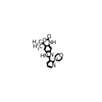 CC1(C)OC(=O)Nc2cc3nc(-c4cccnc4N4CCOCC4)[nH]c3cc21